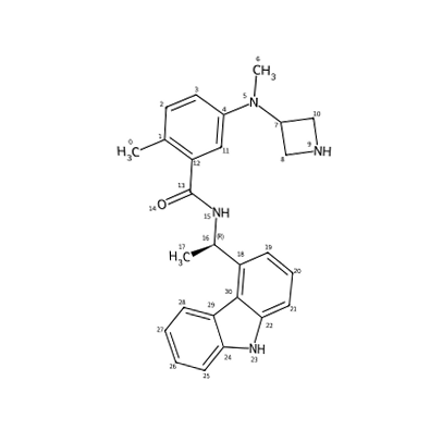 Cc1ccc(N(C)C2CNC2)cc1C(=O)N[C@H](C)c1cccc2[nH]c3ccccc3c12